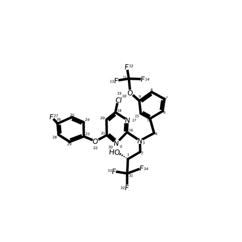 O[C@H](CN(Cc1cccc(OC(F)(F)F)c1)c1nc(Cl)cc(Oc2ccc(F)cc2)n1)C(F)(F)F